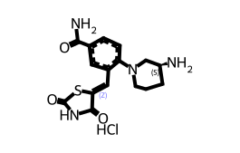 Cl.NC(=O)c1ccc(N2CCC[C@H](N)C2)c(/C=C2\SC(=O)NC2=O)c1